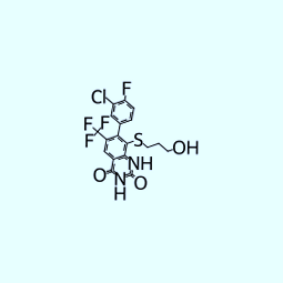 O=c1[nH]c(=O)c2cc(C(F)(F)F)c(-c3ccc(F)c(Cl)c3)c(SCCCO)c2[nH]1